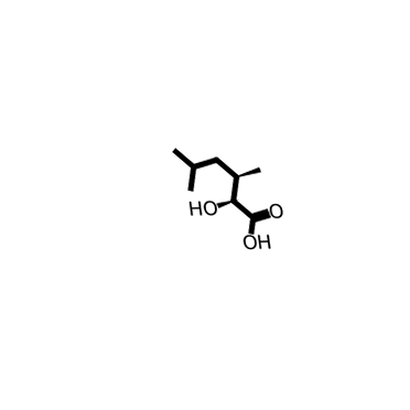 CC(C)C[C@@H](C)[C@H](O)C(=O)O